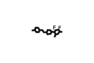 CC1CCC(CCC2CCC(C3C(C)CC(C)C(F)C3F)CC2)CC1